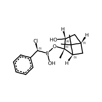 CC1(C)[C@@H]2C[C@@H](O)[C@@](C)(OB(O)[C@H](Cl)c3ccccc3)[C@H]1C2